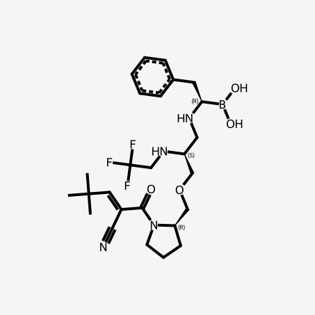 CC(C)(C)C=C(C#N)C(=O)N1CCC[C@@H]1COC[C@H](CN[C@@H](Cc1ccccc1)B(O)O)NCC(F)(F)F